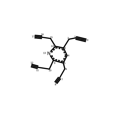 C#CCc1cc(CC#C)c(CC#C)nc1CC#C